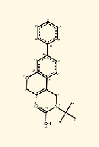 CC(C)(C)N(CC1=CCOc2cc(-c3ccccc3)ccc21)C(=O)O